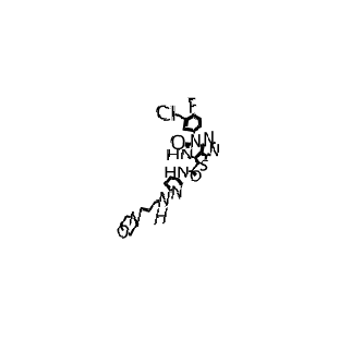 O=C(Nc1ccc(NCCCN2CCOCC2)nc1)c1sc2ncnc3c2c1NC(=O)N3c1ccc(F)c(Cl)c1